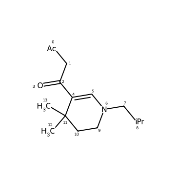 CC(=O)CC(=O)C1=CN(CC(C)C)CCC1(C)C